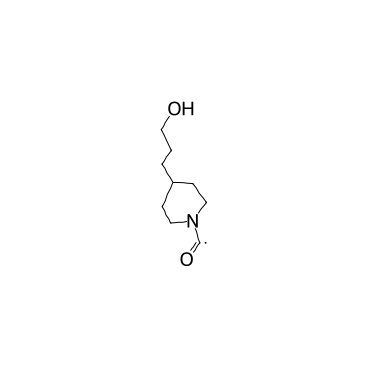 O=[C]N1CCC(CCCO)CC1